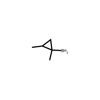 BC1(C)CC1C